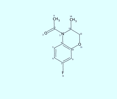 CC(=O)N1c2ccc(F)cc2OCC1C